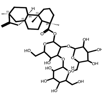 C=C1C[C@@]23CCC4[C@](C)(C(=O)OC5OC(CO)C(O)C(OC6OC(CO)C(O)C(O)C6O)C5OC5OC(CO)C(O)C(O)C5O)CCC[C@@]4(C)[C@@H]2CC[C@@]1(C)C3